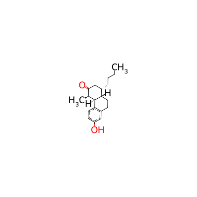 CCCC[C@H]1CC(=O)[C@H](C)[C@@H]2c3ccc(O)cc3CC[C@@H]12